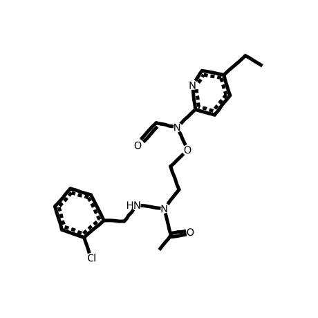 CCc1ccc(N(C=O)OCCN(NCc2ccccc2Cl)C(C)=O)nc1